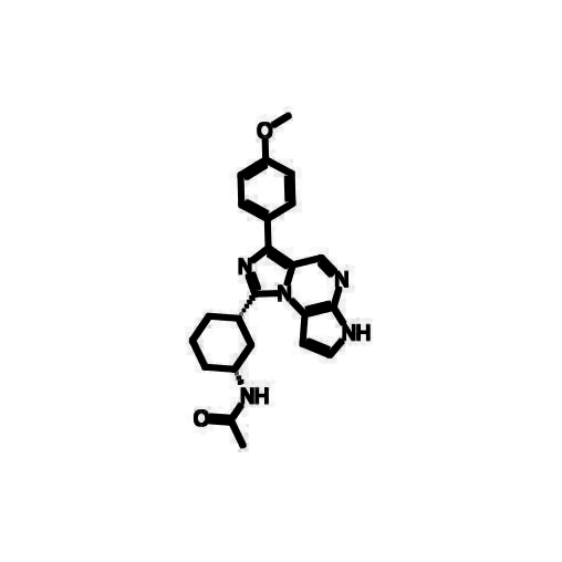 COc1ccc(-c2nc([C@H]3CCC[C@@H](NC(C)=O)C3)n3c2cnc2[nH]ccc23)cc1